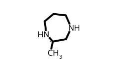 C[C]1CNCCCN1